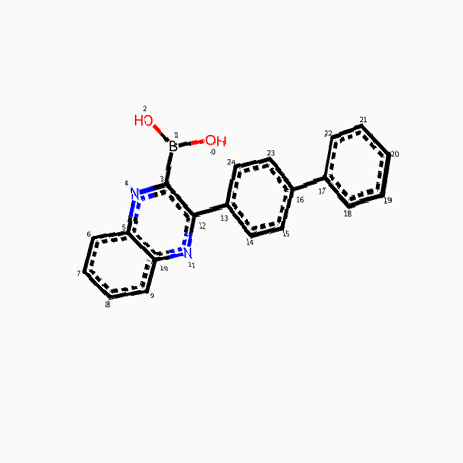 OB(O)c1nc2ccccc2nc1-c1ccc(-c2ccccc2)cc1